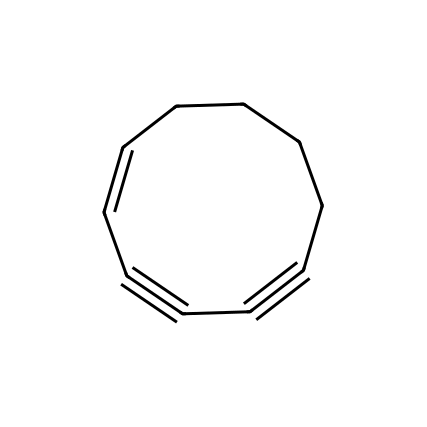 C1#CC=CCCCCC#C1